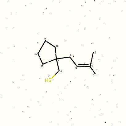 CC(C)=CCC1(CS)CCCC1